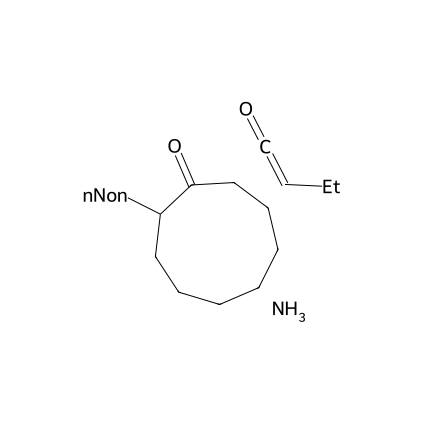 CCC=C=O.CCCCCCCCCC1CCCCCCCC1=O.N